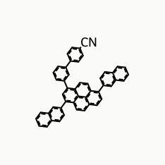 N#Cc1ccc(-c2cccc(-c3cc(-c4ccc5ccccc5c4)c4ccc5ccc(-c6ccc7ccccc7c6)c6ccc3c4c56)c2)cc1